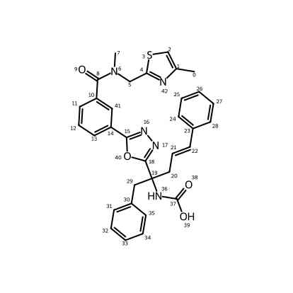 Cc1csc(CN(C)C(=O)c2cccc(-c3nnc(C(C/C=C/c4ccccc4)(Cc4ccccc4)NC(=O)O)o3)c2)n1